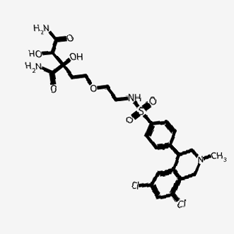 CN1Cc2c(Cl)cc(Cl)cc2C(c2ccc(S(=O)(=O)NCCOCCC(O)(C(N)=O)C(O)C(N)=O)cc2)C1